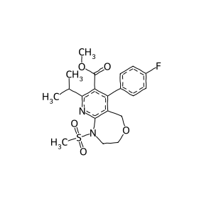 COC(=O)c1c(C(C)C)nc2c(c1-c1ccc(F)cc1)COCCN2S(C)(=O)=O